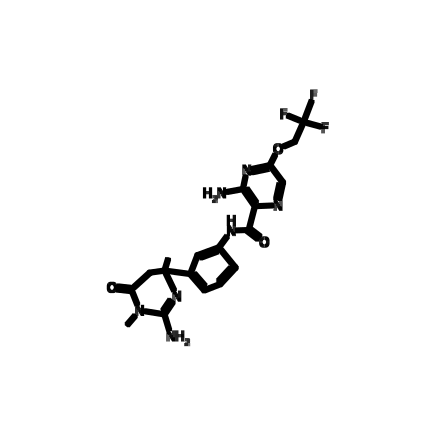 CN1C(=O)CC(C)(c2cccc(NC(=O)c3ncc(OCC(F)(F)F)nc3N)c2)N=C1N